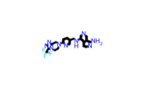 Nc1nccc2c(NCc3ccc(N4CCn5c(nnc5C(F)(F)F)C4)nc3)cncc12